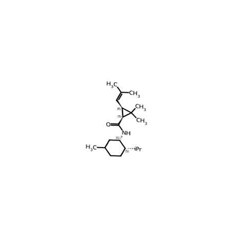 CC(C)=C[C@@H]1[C@H](C(=O)N[C@H]2CC(C)CC[C@H]2C(C)C)C1(C)C